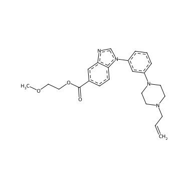 C=CCN1CCN(c2cccc(-n3cnc4cc(C(=O)OCCOC)ccc43)c2)CC1